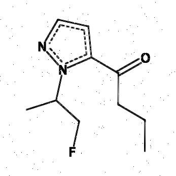 CCCC(=O)c1ccnn1C(C)CF